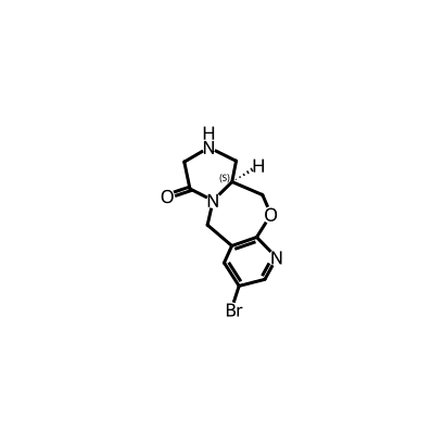 O=C1CNC[C@H]2COc3ncc(Br)cc3CN12